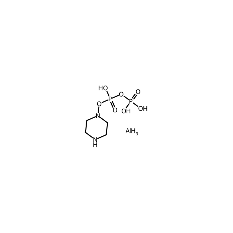 O=P(O)(O)OP(=O)(O)ON1CCNCC1.[AlH3]